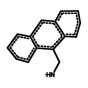 [NH]Cc1c2ccccc2cc2ccccc12